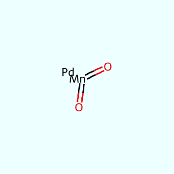 [O]=[Mn]=[O].[Pd]